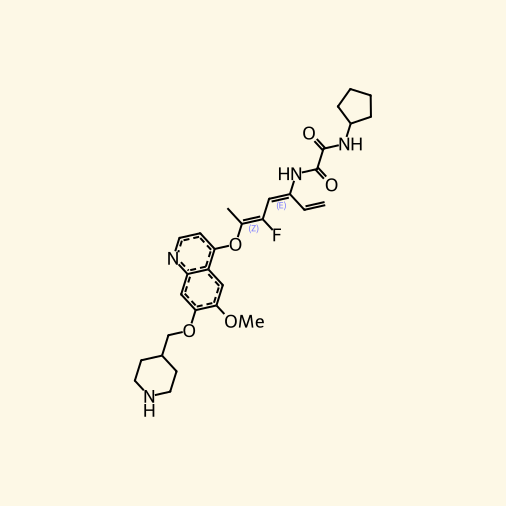 C=C/C(=C\C(F)=C(/C)Oc1ccnc2cc(OCC3CCNCC3)c(OC)cc12)NC(=O)C(=O)NC1CCCC1